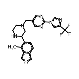 Cc1c(C2CN(Cc3cnc(-n4cnc(C(F)(F)F)c4)nc3)CCN2)ccc2cocc12